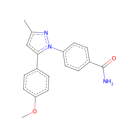 COc1ccc(-c2cc(C)nn2-c2ccc(C(N)=O)cc2)cc1